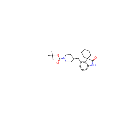 CC(C)(C)OC(=O)N1CCC(Cc2cccc3c2C2(CCCCC2)C(=O)N3)CC1